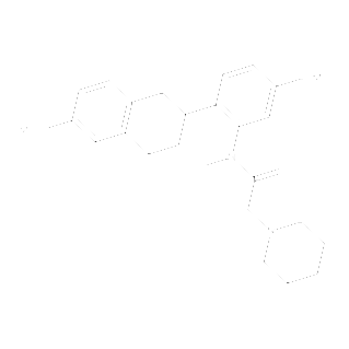 CCN(C(=O)CN1CCCCC1)c1cc(OC)ccc1C1CCc2cc(OC)ccc2C1